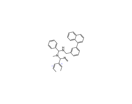 C=NC(C(/C=C\C)=C/C)N(C)C(NCc1cccc(-c2cccc3ccccc23)c1)c1ccccc1